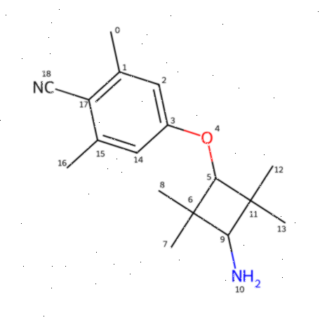 Cc1cc(OC2C(C)(C)C(N)C2(C)C)cc(C)c1C#N